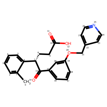 Cc1ccccc1[C@H](CCC(=O)O)C(=O)c1cccc(OCc2ccncc2)c1